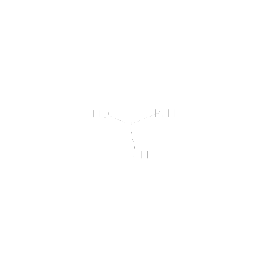 O[B](O)[RaH]